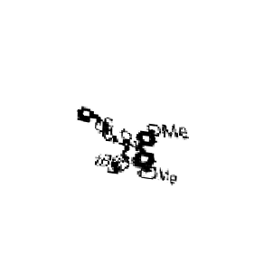 COc1ccc(C(c2ccc(OC)cc2)N2C(=O)[C@@H](CCOC(=O)OCc3ccccc3)[C@H]2[C@@H](C)CO[Si](C)(C)C(C)(C)C)cc1